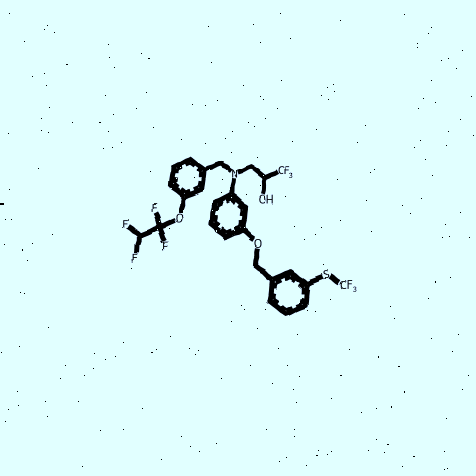 OC(CN(Cc1cccc(OC(F)(F)C(F)F)c1)c1cccc(OCc2cccc(SC(F)(F)F)c2)c1)C(F)(F)F